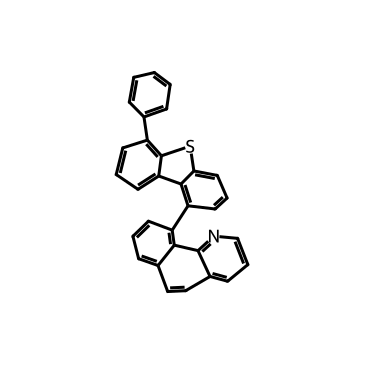 c1ccc(-c2cccc3c2sc2cccc(-c4cccc5ccc6cccnc6c45)c23)cc1